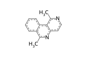 Cc1nc2ccnc(C)c2c2ccccc12